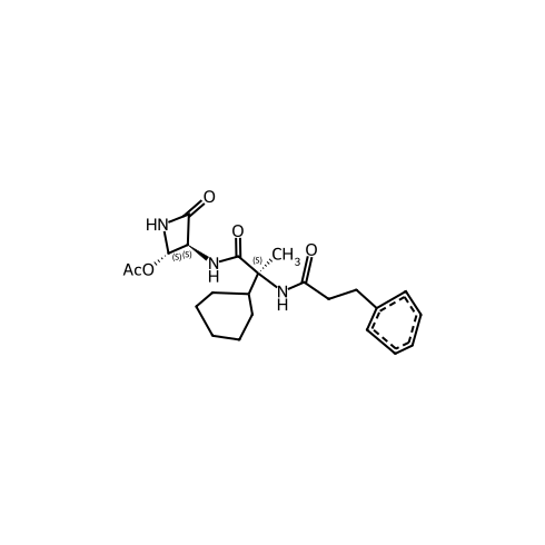 CC(=O)O[C@@H]1NC(=O)[C@H]1NC(=O)[C@@](C)(NC(=O)CCc1ccccc1)C1CCCCC1